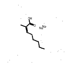 CCCCCC=C(C)C(=O)O.[Na].[Na]